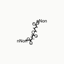 CCCCCCCCCOC(=O)CCCOC(=O)CCC(=O)OCCCCCCCCC